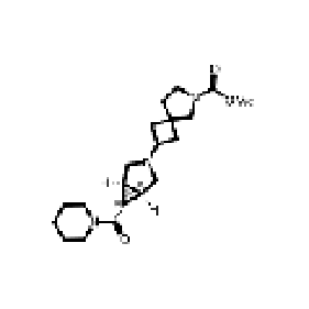 COC(=O)N1CCC2(CC(N3C[C@@H]4[C@H](C3)[C@H]4C(=O)N3CCCCC3)C2)C1